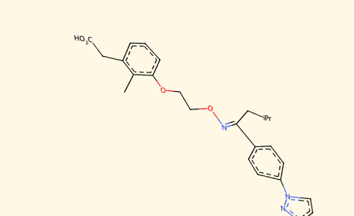 Cc1c(CC(=O)O)cccc1OCCO/N=C(\CC(C)C)c1ccc(-n2cccn2)cc1